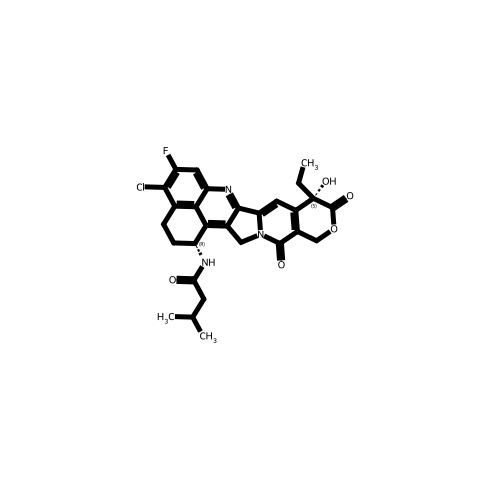 CC[C@@]1(O)C(=O)OCc2c1cc1n(c2=O)Cc2c-1nc1cc(F)c(Cl)c3c1c2[C@H](NC(=O)CC(C)C)CC3